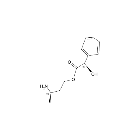 C[C@@H](N)CCOC(=O)[C@H](O)c1ccccc1